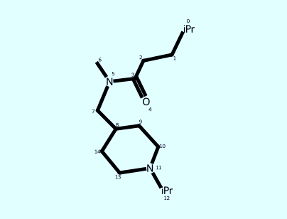 CC(C)CCC(=O)N(C)CC1CCN(C(C)C)CC1